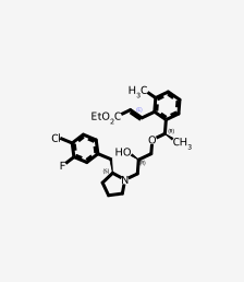 CCOC(=O)/C=C/c1c(C)cccc1[C@@H](C)OC[C@H](O)CN1CCC[C@H]1Cc1ccc(Cl)c(F)c1